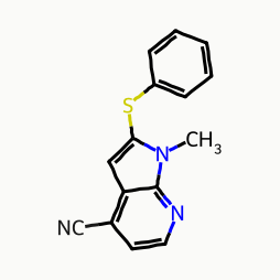 Cn1c(Sc2ccccc2)cc2c(C#N)ccnc21